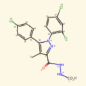 Cc1c(C(=O)NNC(=O)O)nn(-c2ccc(Cl)cc2Cl)c1-c1ccc(Cl)cc1